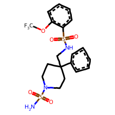 NS(=O)(=O)N1CCC(CNS(=O)(=O)c2ccccc2OC(F)(F)F)(c2ccccc2)CC1